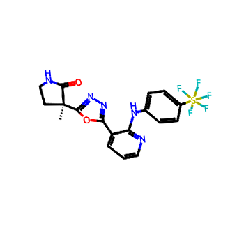 C[C@]1(c2nnc(-c3cccnc3Nc3ccc(S(F)(F)(F)(F)F)cc3)o2)CCNC1=O